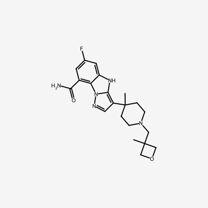 CC1(CN2CCC(C)(c3cnn4c3[nH]c3cc(F)cc(C(N)=O)c34)CC2)COC1